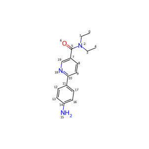 CCN(CC)C(=O)c1ccc(-c2ccc(N)cc2)nc1